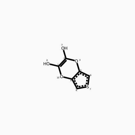 OC1=C(O)Oc2[c]s[c]c2O1